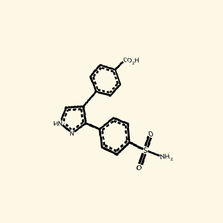 NS(=O)(=O)c1ccc(-c2n[nH]cc2-c2ccc(C(=O)O)cc2)cc1